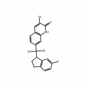 CCc1cc2ccc(C(C#N)(CC)C3CCc4ccc(F)cc43)cc2[nH]c1=O